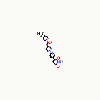 CC1CCN(C(=O)CC2CCN(c3ccc(C4CCC(=O)NC4=O)cn3)CC2)CC1